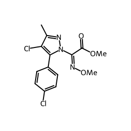 CO/N=C(\C(=O)OC)n1nc(C)c(Cl)c1-c1ccc(Cl)cc1